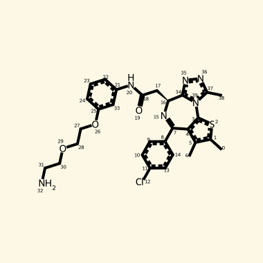 Cc1sc2c(c1C)C(c1ccc(Cl)cc1)=N[C@@H](CC(=O)Nc1cccc(OCCOCCN)c1)c1nnc(C)n1-2